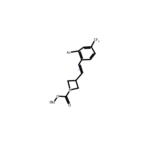 CC(=O)c1cc(C(F)(F)F)ccc1/C=C/C1CN(C(=O)OC(C)(C)C)C1